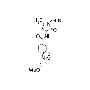 COCCn1ncc2cc(C(=O)NC3CC(C)N(CC#N)C3=O)ccc21